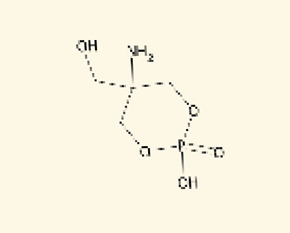 NC1(CO)COP(=O)(O)OC1